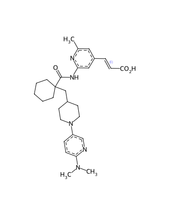 Cc1cc(/C=C/C(=O)O)cc(NC(=O)C2(CC3CCN(c4ccc(N(C)C)nc4)CC3)CCCCC2)n1